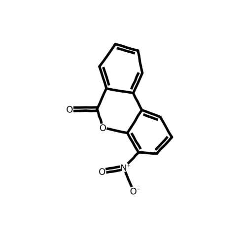 O=c1oc2c([N+](=O)[O-])cccc2c2ccccc12